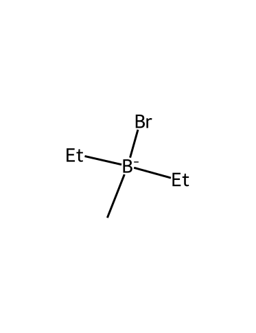 CC[B-](C)(Br)CC